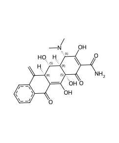 C=C1c2ccccc2C(=O)C2=C(O)[C@]3(O)C(=O)C(C(N)=O)=C(O)[C@@H](N(C)C)[C@@H]3[C@@H](O)[C@H]12